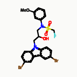 COc1cccc(N(CC(O)Cn2c3ccc(Br)cc3c3cc(Br)ccc32)S(=O)(=O)CF)c1